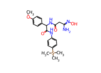 COc1ccc(C(NC(=O)C/C(N)=N/O)C(=O)Nc2ccc(S(C)(C)C)cc2)cc1